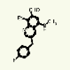 CBc1cc(C=O)c(CC)c2ncc(Cc3ccc(F)cc3)cc12